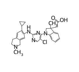 CN1CCc2cc(C3CC3)c(Nc3ncc(Cl)c(N4CC(C)(CC(=O)O)c5ccccc54)n3)cc2C1